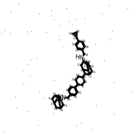 c1cc(C2CCC(C3C4CC5CC3CC(NCc3ccc(C6CC6)cc3)(C5)C4)CC2)ccc1CNC12CC3CC(CC(C3)C1)C2